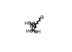 O=CCCCC(CON(O)O)ON(O)O